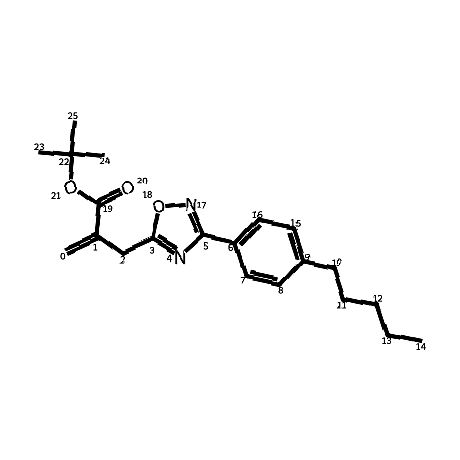 C=C(Cc1nc(-c2ccc(CCCCC)cc2)no1)C(=O)OC(C)(C)C